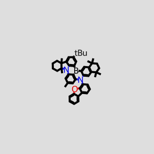 Cc1cc2c3c(c1)N1c4c(cc(C(C)(C)C)cc4C4(C)CCCCC14C)B3c1cc3c(cc1N2c1cccc2c1oc1ccccc12)C(C)(C)CCC3(C)C